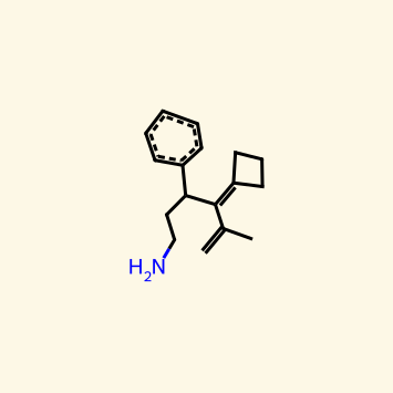 C=C(C)C(=C1CCC1)C(CCN)c1ccccc1